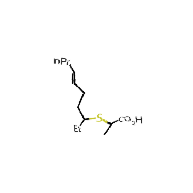 CCCC=CCCC(CC)SC(C)C(=O)O